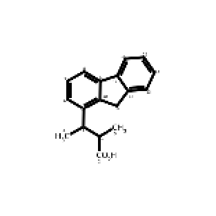 CC(C(=O)O)C(C)c1cccc2c1Cc1ccccc1-2